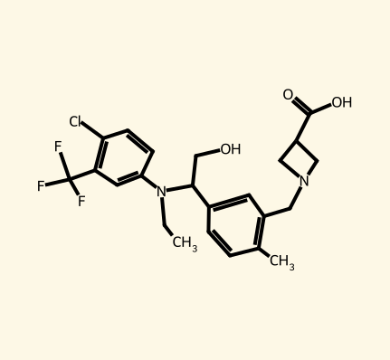 CCN(c1ccc(Cl)c(C(F)(F)F)c1)C(CO)c1ccc(C)c(CN2CC(C(=O)O)C2)c1